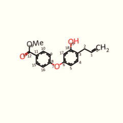 C=CCc1ccc(Oc2ccc(C(=O)OC)cc2)cc1O